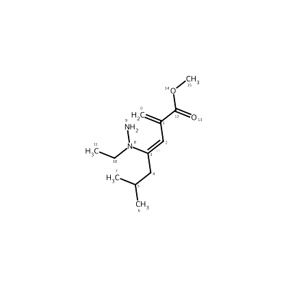 C=C(/C=C(/CC(C)C)N(N)CC)C(=O)OC